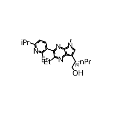 CCC[C@H](CO)c1cn(C)c2nc(-c3ccc(C(C)C)nc3CC)c(CC)nc12